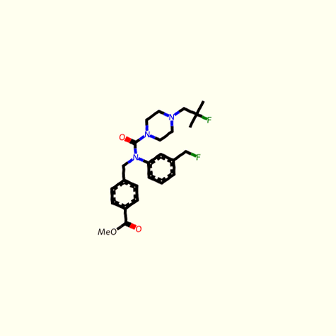 COC(=O)c1ccc(CN(C(=O)N2CCN(CC(C)(C)F)CC2)c2cccc(CF)c2)cc1